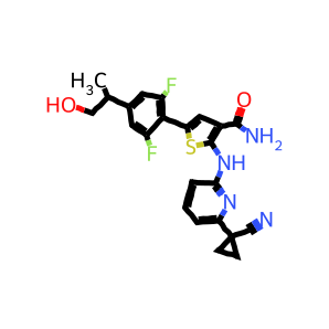 CC(CO)c1cc(F)c(-c2cc(C(N)=O)c(Nc3cccc(C4(C#N)CC4)n3)s2)c(F)c1